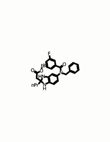 CCCC1(CC(=O)OC(C)(C)C)Nc2ccc(N(Cc3ccccc3)C(=O)c3cccc(F)c3)cc2N1